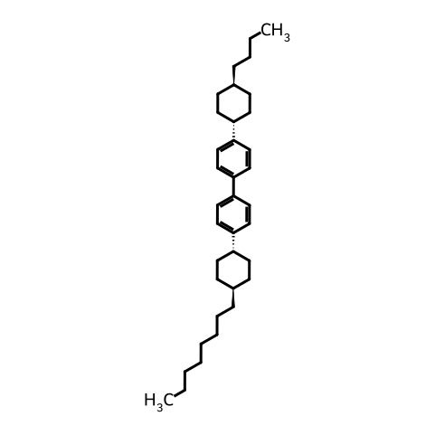 CCCCCCCC[C@H]1CC[C@H](c2ccc(-c3ccc([C@H]4CC[C@H](CCCC)CC4)cc3)cc2)CC1